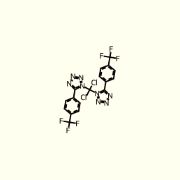 FC(F)(F)c1ccc(-c2nnnn2C(Cl)(Cl)n2nnnc2-c2ccc(C(F)(F)F)cc2)cc1